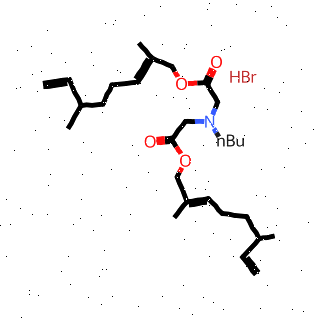 Br.C=CC(C)CCC=C(C)COC(=O)CN(CCCC)CC(=O)OCC(C)=CCCC(C)C=C